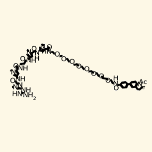 CC(=O)N1c2ccc(-c3ccc(C(=O)NCCOCCOCCOCCOCCOCCOCCOCCOCCNC(=O)c4cc(NC(=O)c5cc(NC(=O)CCNC(=O)c6cc(NC(=O)c7nc(NC(=N)N)cn7C)cn6C)cn5C)cn4C)cc3)cc2CC[C@@H]1C